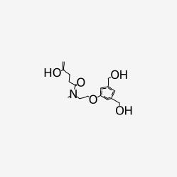 C=C(O)CCC(=O)N(C)CCOc1cc(CO)cc(CO)c1